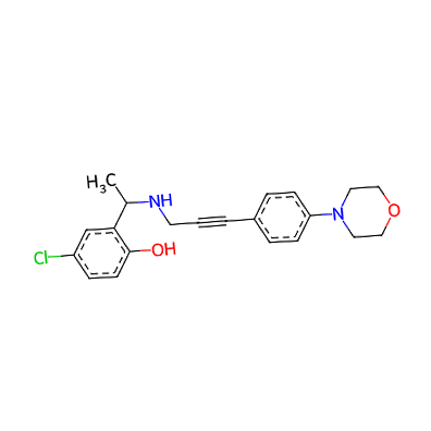 CC(NCC#Cc1ccc(N2CCOCC2)cc1)c1cc(Cl)ccc1O